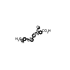 Cn1cnc2cc(COc3cccc(C4CCN(Cc5nc6ccc(C(=O)O)cc6n5C[C@@H]5CCO5)CC4)n3)ccc21